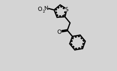 O=C(Cc1cc([N+](=O)[O-])cs1)c1ccccc1